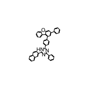 c1ccc(C2=NC(c3ccc(-c4cc(-c5ccccc5)cc5oc6ccccc6c45)cc3)NC(c3ccc4ccccc4c3)=N2)cc1